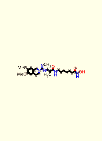 C=N/C(=N\C=C(/C)C(=O)NCCCCCCC(=O)NO)N1CCc2cc(OC)c(OC)cc2C1